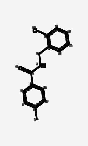 [CH2]c1ccc(C(=O)NCc2ccccc2Cl)cc1